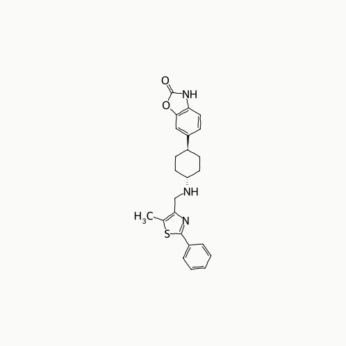 Cc1sc(-c2ccccc2)nc1CN[C@H]1CC[C@H](c2ccc3[nH]c(=O)oc3c2)CC1